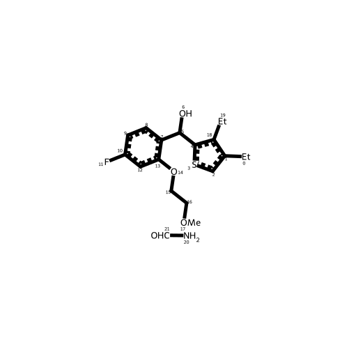 CCc1csc(C(O)c2ccc(F)cc2OCCOC)c1CC.NC=O